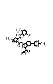 Cc1ncc(-c2ccc3c(c2)c(C(=O)C(F)(F)F)nn3CC(=O)N2C3C[C@]3(C)C[C@H]2C(=O)Nc2nc(Br)ccc2C)cn1